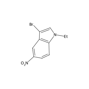 CCn1cc(Br)c2cc([N+](=O)[O-])ccc21